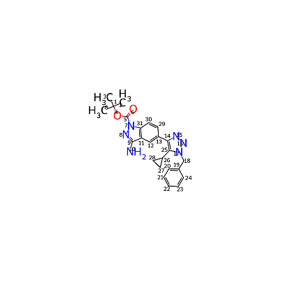 CC(C)(C)OC(=O)n1nc(N)c2cc(-c3nnn(Cc4ccccc4)c3C3CC3)ccc21